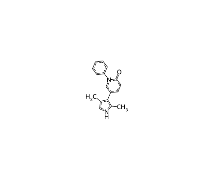 Cc1c[nH]c(C)c1-c1ccc(=O)n(-c2ccccc2)c1